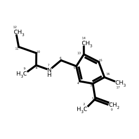 C=C(C)c1cc(CNC(C)CCC)c(C)cc1C